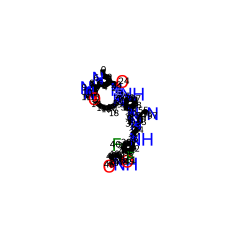 Cc1cc2cc(n1)-c1cnn(C)c1OCCC[C@@H](C)CN1/C(=N/C2=O)Nc2ccc(N3CCN(CCNc4cc(F)c([C@H]5CCC(=O)NC5=O)c(F)c4)C[C@@H]3CC#N)cc21